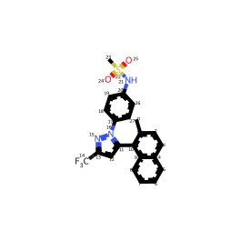 Cc1ccc2ccccc2c1-c1cc(C(F)(F)F)nn1-c1ccc(NS(C)(=O)=O)cc1